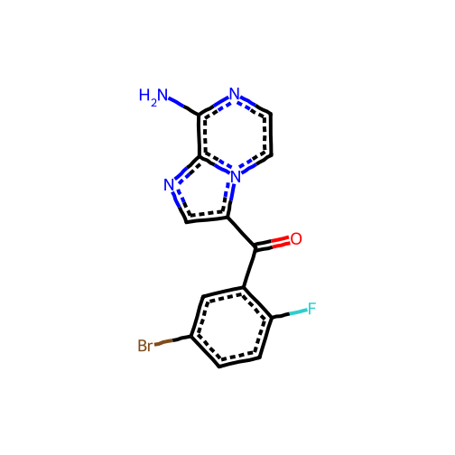 Nc1nccn2c(C(=O)c3cc(Br)ccc3F)cnc12